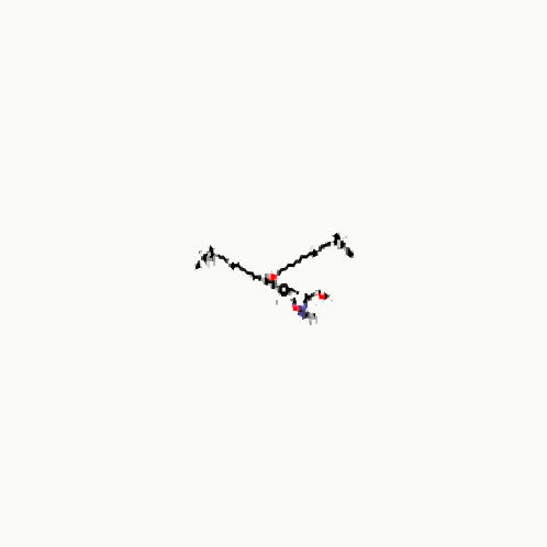 CNC/C(O)=C\C(C)(/C=C(/O)CNC(C)Cc1ccc(Nc2nc(NCCCCCCCCCCC(=O)NCCCC[C@H](NC(=O)NCC(=O)O)C(=O)O)nc(NCCCCCCCC(=O)NCCCC[C@H](NC(=O)NCC(=O)O)C(=O)O)n2)cc1)/C=C(/O)CN(C)CCN(C)CC(=O)O